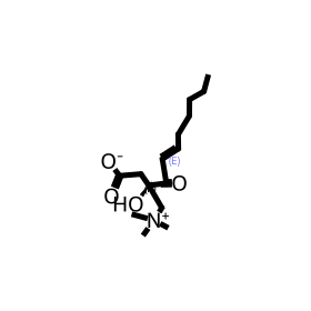 CCCCC/C=C/C(=O)[C@@](O)(CC(=O)[O-])C[N+](C)(C)C